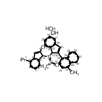 CC1=Cc2c(C(C)C)cccc2[CH]1[Ti]([CH]1C(c2ccc(C)c3ccccc23)=Cc2ccccc21)=[Si](C)C.Cl.Cl